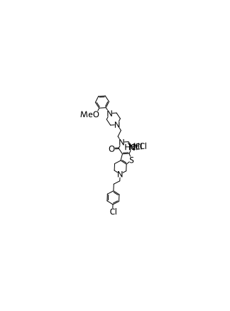 COc1ccccc1N1CCN(CCn2cnc3sc4c(c3c2=O)CCN(CCc2ccc(Cl)cc2)C4)CC1.Cl.Cl.Cl